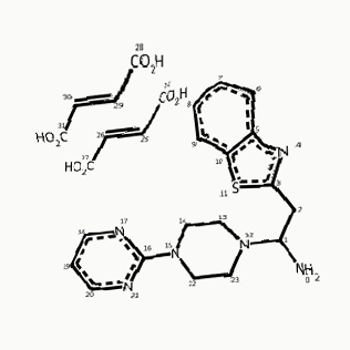 NC(Cc1nc2ccccc2s1)N1CCN(c2ncccn2)CC1.O=C(O)C=CC(=O)O.O=C(O)C=CC(=O)O